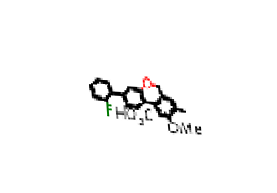 COc1cc2c(cc1C)COc1cc(-c3ccccc3F)c(C(=O)O)cc1-2